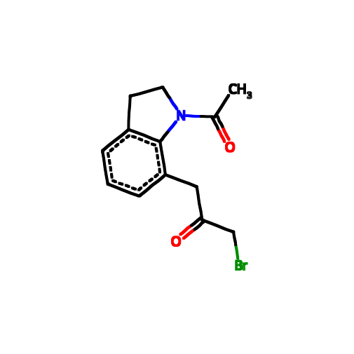 CC(=O)N1CCc2cccc(CC(=O)CBr)c21